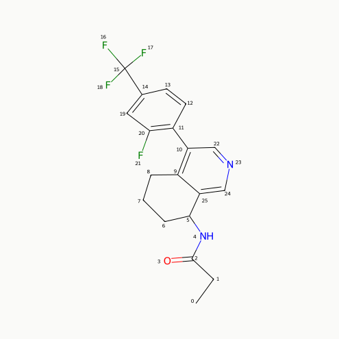 CCC(=O)NC1CCCc2c(-c3ccc(C(F)(F)F)cc3F)cncc21